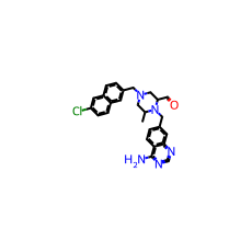 CC1CN(Cc2ccc3cc(Cl)ccc3c2)CC(C=O)N1Cc1ccc2c(N)ncnc2c1